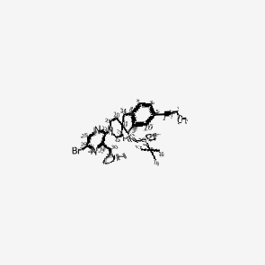 COCC#Cc1ccc2c(c1)[C@@H](N[S@+]([O-])C(C)(C)C)C1(CCN(c3ncc(Br)nc3CO)CC1)C2